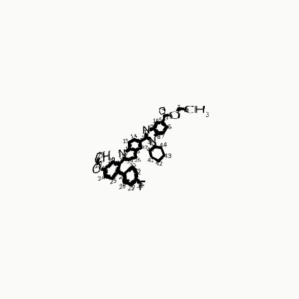 CCOC(=O)c1ccc2c(c1)nc(-c1ccc3nc(-c4cc(OC)ccc4-c4ccc(F)cc4)ccc3c1)n2C1CCCCC1